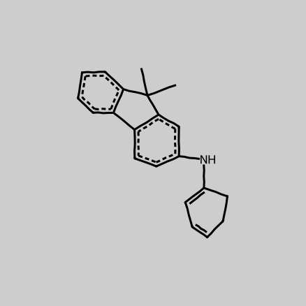 CC1(C)c2ccccc2-c2ccc(NC3=CC=CCC3)cc21